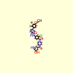 CC1(C(=O)Nc2ccc(C(=O)N3CCN(C(=O)C4CNCC(O)C4)CC3)c(Cl)c2)N=CC(c2ccc(OCC#N)c(F)c2F)=N1